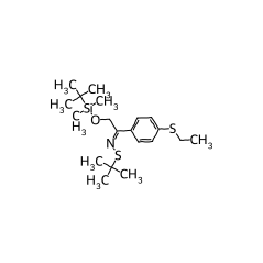 CCSc1ccc(/C(CO[Si](C)(C)C(C)(C)C)=N\SC(C)(C)C)cc1